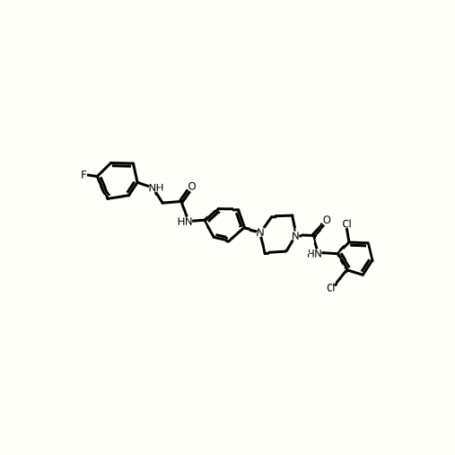 O=C(CNc1ccc(F)cc1)Nc1ccc(N2CCN(C(=O)Nc3c(Cl)cccc3Cl)CC2)cc1